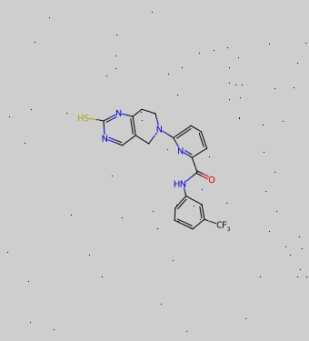 O=C(Nc1cccc(C(F)(F)F)c1)c1cccc(N2CCc3nc(S)ncc3C2)n1